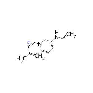 C=CNC1=CC=CN(/C=C\C(=C)C)C1